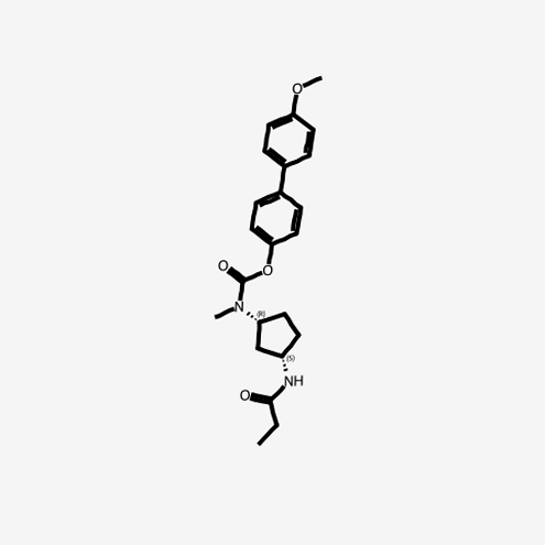 CCC(=O)N[C@H]1CC[C@@H](N(C)C(=O)Oc2ccc(-c3ccc(OC)cc3)cc2)C1